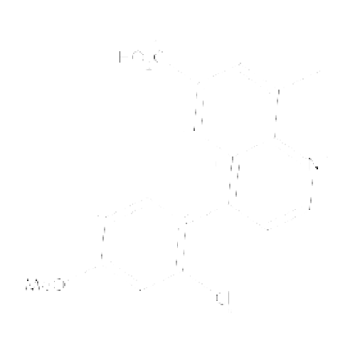 COc1ccc(-c2ccnc3c(C)cc(C(=O)O)cc23)c(Cl)c1